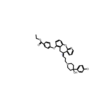 CCOC(=O)c1ccc(Oc2cccc3c2C/C(=C/CCN2CCC(O)(c4ccc(Cl)cc4)CC2)c2cccnc2O3)cc1